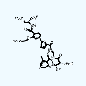 CCCCC[C@@H](C(=O)NCNC(=O)c1ccc(-c2ccc(C(=O)N[C@@H](CC(=O)O)C(=O)O)c(OCC(=O)O)c2)o1)[C@@H](CC)N(C=O)OC(=O)c1ccncc1C